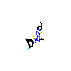 CCC1CCN(N=C2SC(C)CN2C(=S)Nc2cccc(F)c2)CC1